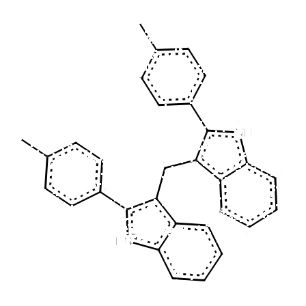 Cc1ccc(-c2[nH]c3ccccc3c2Cc2c(-c3ccc(C)cc3)[nH]c3ccccc23)cc1